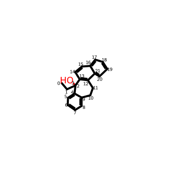 CCC1(O)c2ccccc2CCc2c1ccc1ccccc21